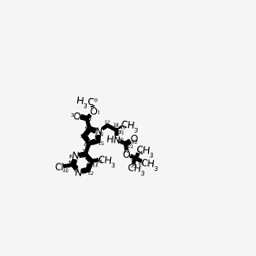 COC(=O)c1cc(-c2nc(Cl)ncc2C)cn1C[C@@H](C)NC(=O)OC(C)(C)C